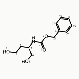 O=C(N[C@@H](CO)CCO)OCc1ccccc1